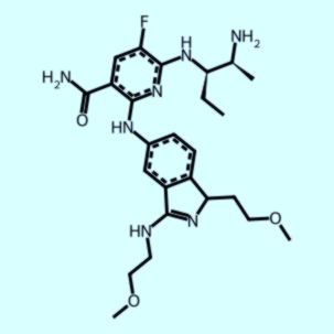 CC[C@@H](Nc1nc(Nc2ccc3c(c2)C(NCCOC)=NC3CCOC)c(C(N)=O)cc1F)[C@H](C)N